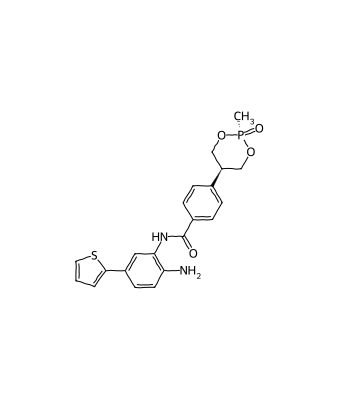 C[P@]1(=O)OC[C@@H](c2ccc(C(=O)Nc3cc(-c4cccs4)ccc3N)cc2)CO1